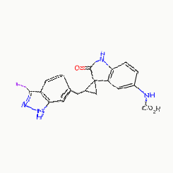 O=C(O)Nc1ccc2c(c1)C1(CC1c1ccc3c(I)n[nH]c3c1)C(=O)N2